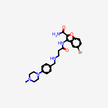 CN1CCN(c2ccc(CNCCC(=O)Nc3c(C(N)=O)oc4ccc(Br)cc34)cc2)CC1